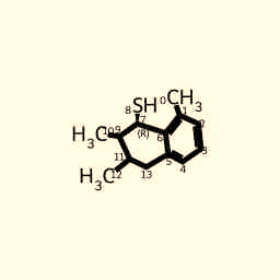 Cc1cccc2c1[C@H](S)C(C)C(C)C2